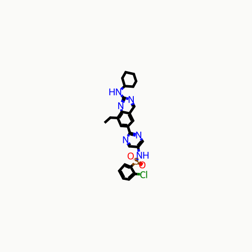 CCc1cc(-c2ncc(NS(=O)(=O)c3ccccc3Cl)cn2)cc2cnc(NC3CCCCC3)nc12